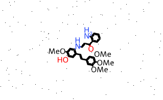 COc1cc(NC=CC(=O)c2ccccc2N)c(C=Cc2cc(OC)c(OC)c(OC)c2)cc1O